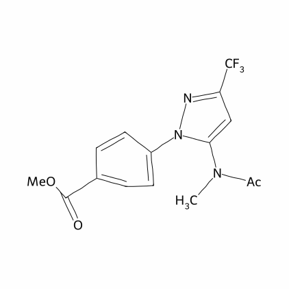 COC(=O)c1ccc(-n2nc(C(F)(F)F)cc2N(C)C(C)=O)cc1